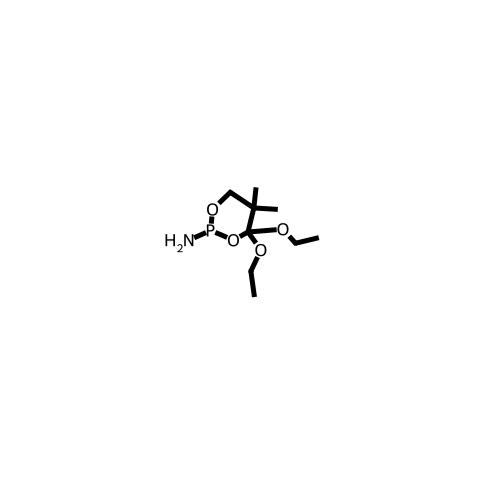 CCOC1(OCC)OP(N)OCC1(C)C